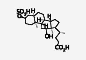 C[C@H](CCC(=O)O)C1CC[C@H]2[C@@H]3CC[C@@H]4C[C@H](OS(=O)(=O)O)CC[C@]4(C)[C@H]3C[C@H](O)[C@]12C